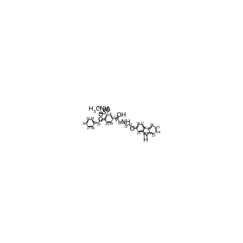 CNS(=O)(=O)c1cc([C@@H](O)CNCCOc2ccc3c(c2)[nH]c2ccccc23)ccc1OCc1ccccc1